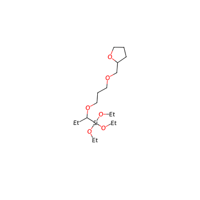 CCO[Si](OCC)(OCC)C(CC)OCCCOCC1CCCO1